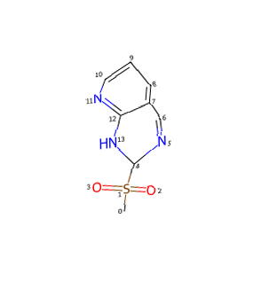 CS(=O)(=O)C1N=Cc2cccnc2N1